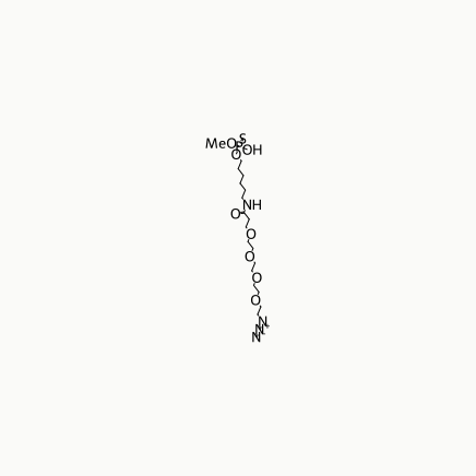 COP(O)(=S)OCCCCCCNC(=O)CCOCCOCCOCCOCCN=[N+]=[N-]